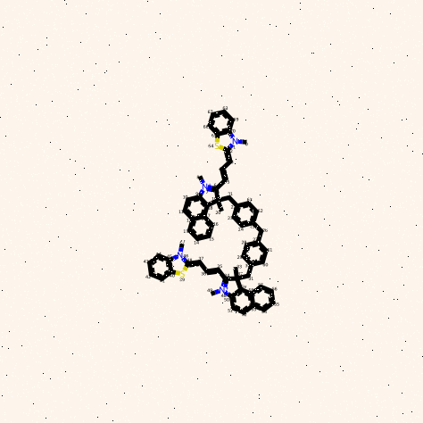 CN1/C(=C/C=C/C2=[N+](C)c3ccc4ccccc4c3C2(C)Cc2ccc(Cc3ccc(CC4(C)C(/C=C/C=C5\Sc6ccccc6N5C)=[N+](C)c5ccc6ccccc6c54)cc3)cc2)Sc2ccccc21